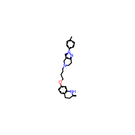 C=C1CCc2ccc(OCCCCN3CCc4nn(-c5ccc(C)cc5)cc4C3)cc2N1